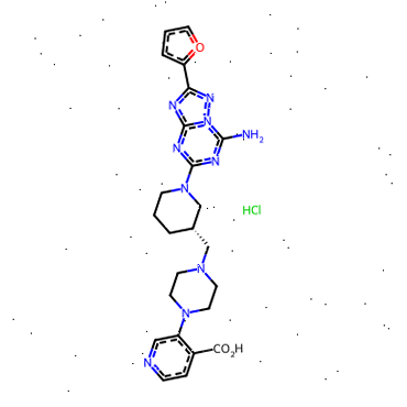 Cl.Nc1nc(N2CCC[C@@H](CN3CCN(c4cnccc4C(=O)O)CC3)C2)nc2nc(-c3ccco3)nn12